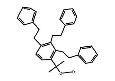 CCOC(C)(C)c1ccc(CCc2ccccc2)c(CCc2ccccc2)c1CCc1ccccc1